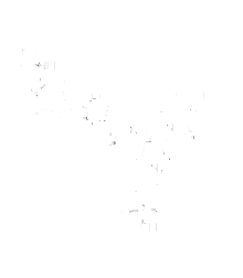 CC1(C)CCN(c2nn(CCS(C)(=O)=O)cc2NC(=O)c2coc(-c3ccnc(NCC(F)(F)F)c3)n2)C1=O